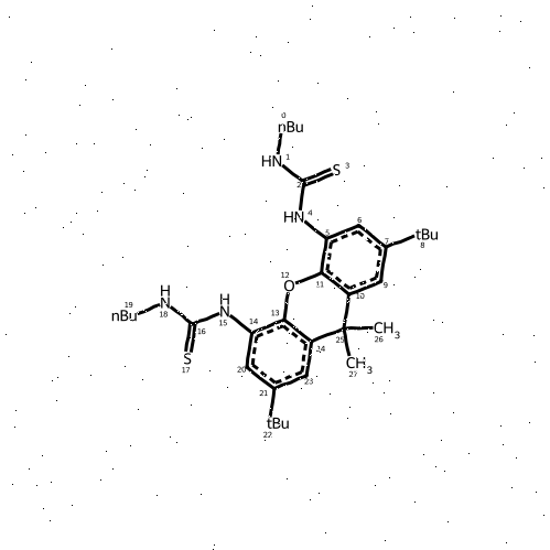 CCCCNC(=S)Nc1cc(C(C)(C)C)cc2c1Oc1c(NC(=S)NCCCC)cc(C(C)(C)C)cc1C2(C)C